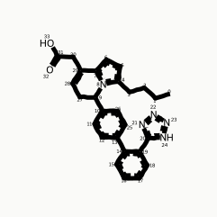 CCCCc1ccc2n1C(c1ccc(-c3ccccc3-c3nnn[nH]3)cc1)CC=C2CC(=O)O